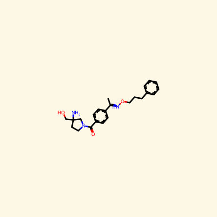 C/C(=N\OCCCc1ccccc1)c1ccc(C(=O)N2CCC(N)(CO)C2)cc1